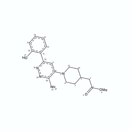 COC(=O)CC1CCN(c2cc(-c3ccccc3O)nnc2N)CC1